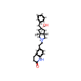 O=C1CCc2cc(CCN3C[C@@H]4C[C@@](O)(Cc5ccccc5)C[C@@H]4C3)ccc2N1